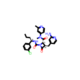 CCC[C@@H](NC(=O)N1C(=O)[C@H](Cc2ccnc(N)c2)[C@H]1C(=O)N(C)c1ccnc(C)c1)c1cccc(Cl)c1